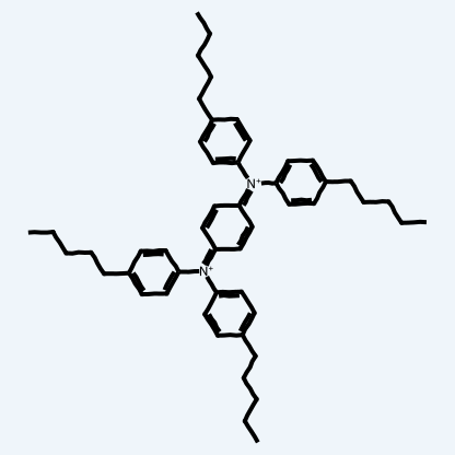 CCCCCc1ccc([N+](=C2C=CC(=[N+](c3ccc(CCCCC)cc3)c3ccc(CCCCC)cc3)C=C2)c2ccc(CCCCC)cc2)cc1